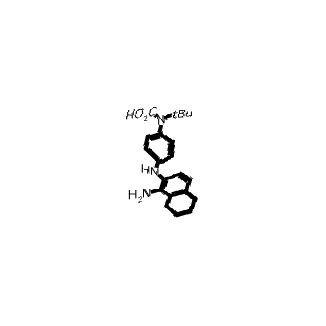 CC(C)(C)N(C(=O)O)c1ccc(Nc2ccc3c(c2N)CCCC3)cc1